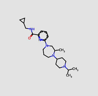 CC(C)N1CCC(N2CCCN(c3cccc(C(=O)NCC4CC4)n3)CC2C)CC1